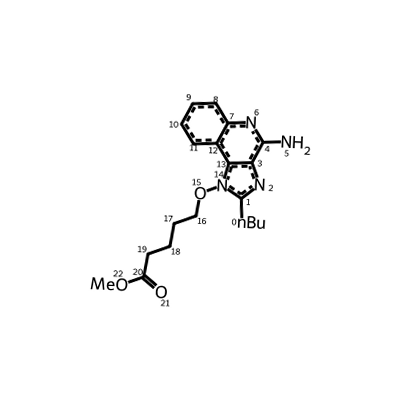 CCCCc1nc2c(N)nc3ccccc3c2n1OCCCCC(=O)OC